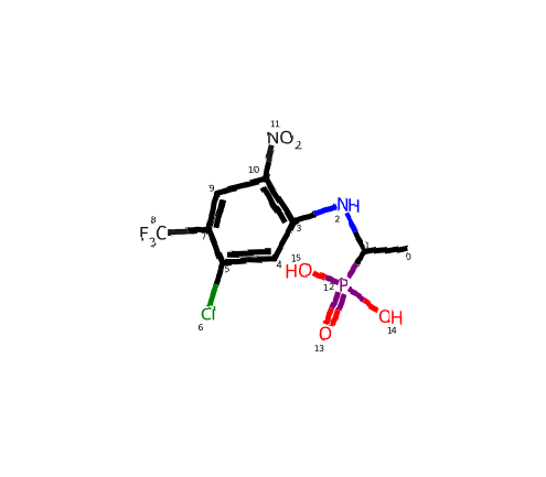 CC(Nc1cc(Cl)c(C(F)(F)F)cc1[N+](=O)[O-])P(=O)(O)O